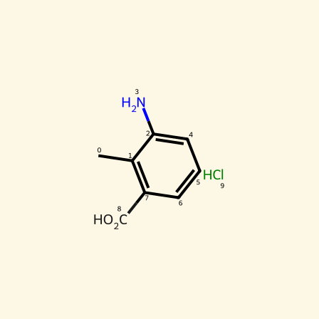 Cc1c(N)cccc1C(=O)O.Cl